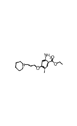 CCOC(=O)c1cc(C)c(OCCCN2CCCCC2)cc1N